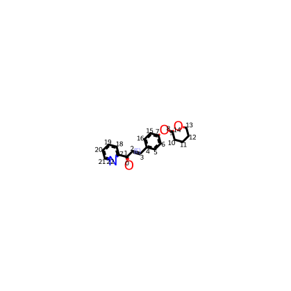 O=C(/C=C/c1ccc(OC2CCCCO2)cc1)c1ccccn1